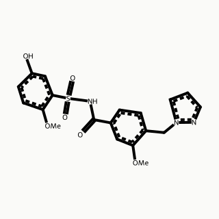 COc1cc(C(=O)NS(=O)(=O)c2cc(O)ccc2OC)ccc1Cn1cccn1